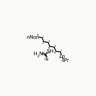 CCCCCCCCCCCCCCC[CH2][Zn][CH](C)C.NC(=S)S